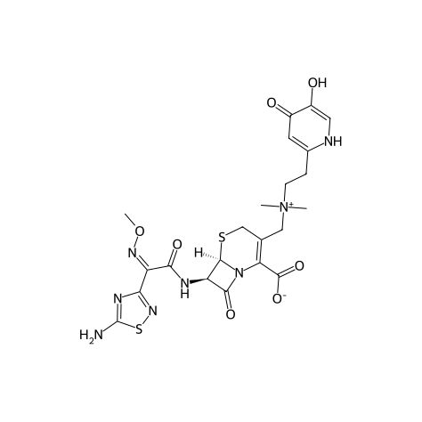 CO/N=C(\C(=O)N[C@@H]1C(=O)N2C(C(=O)[O-])=C(C[N+](C)(C)CCc3cc(=O)c(O)c[nH]3)CS[C@H]12)c1nsc(N)n1